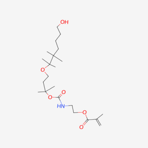 C=C(C)C(=O)OCCNC(=O)OC(C)(C)CCOC(C)(C)C(C)(C)CCCCO